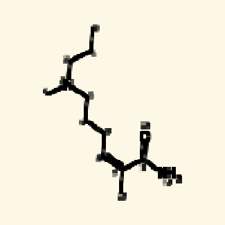 CCCN(C)CCCC=C(C)C(N)=O